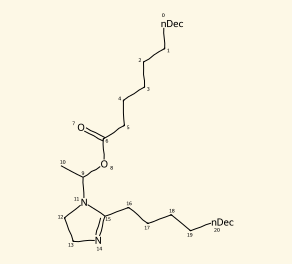 CCCCCCCCCCCCCCCC(=O)OC(C)N1CCN=C1CCCCCCCCCCCCCC